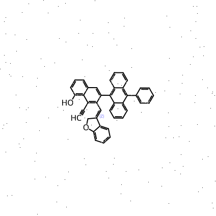 C#Cc1c(/C=C2\COc3ccccc32)c(-c2c3ccccc3c(-c3ccccc3)c3ccccc23)cc2cccc(O)c12